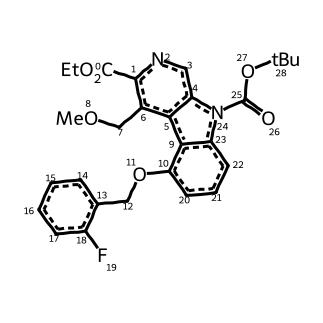 CCOC(=O)c1ncc2c(c1COC)c1c(OCc3ccccc3F)cccc1n2C(=O)OC(C)(C)C